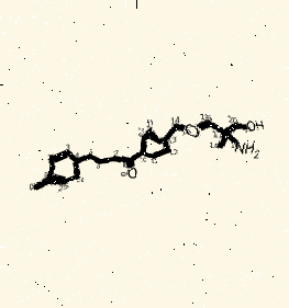 Cc1ccc(CCCC(=O)c2ccc(COCC(C)(N)CO)cc2)cc1